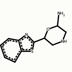 NC1CNCC(c2nc3ccccc3s2)O1